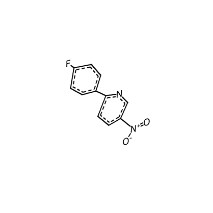 O=[N+]([O-])c1ccc(-c2ccc(F)cc2)nc1